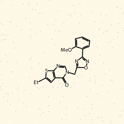 CCc1cc2c(=O)n(Cc3nc(-c4ccccc4OC)no3)cnc2s1